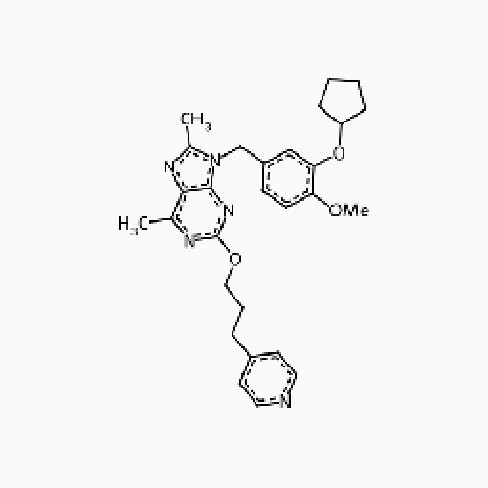 COc1ccc(Cn2c(C)nc3c(C)nc(OCCCc4ccncc4)nc32)cc1OC1CCCC1